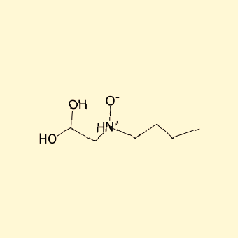 CCCC[NH+]([O-])CC(O)O